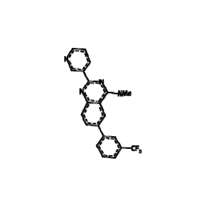 CNc1nc(-c2cccnc2)nc2ccc(-c3cccc(C(F)(F)F)c3)cc12